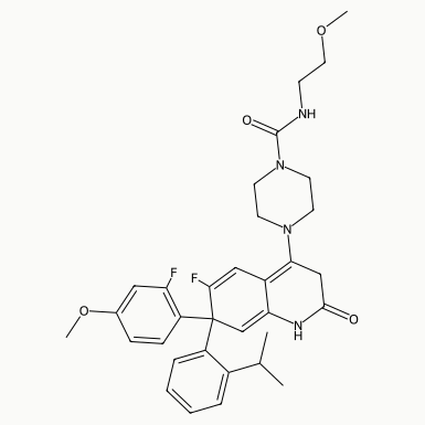 COCCNC(=O)N1CCN(C2=C3C=C(F)C(c4ccc(OC)cc4F)(c4ccccc4C(C)C)C=C3NC(=O)C2)CC1